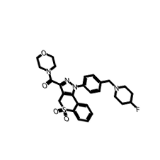 O=C(c1nn(-c2ccc(CN3CCC(F)CC3)cc2)c2c1CS(=O)(=O)c1ccccc1-2)N1CCOCC1